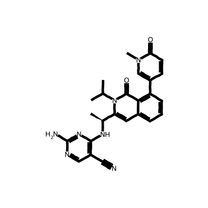 CC(C)n1c([C@H](C)Nc2nc(N)ncc2C#N)cc2cccc(-c3ccc(=O)n(C)c3)c2c1=O